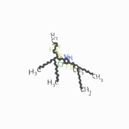 CCCCCCCCCCC(CCCCCCCC)Cc1cc(-c2c(F)c(Cl)c(-c3cc(CC(CCCCCCCC)CCCCCCCCCC)c(-c4cc(F)c(-c5sc(C)cc5F)s4)s3)c3nsnc23)sc1C